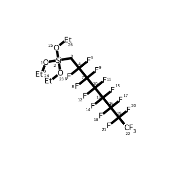 CCO[Si](CC(F)(F)C(F)(F)C(F)(F)C(F)(F)C(F)(F)C(F)(F)C(F)(F)F)(OCC)OCC